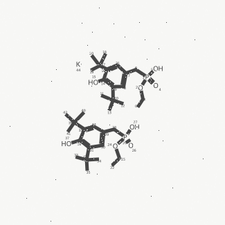 CCOP(=O)(O)Cc1cc(C(C)(C)C)c(O)c(C(C)(C)C)c1.CCOP(=O)(O)Cc1cc(C(C)(C)C)c(O)c(C(C)(C)C)c1.[K]